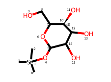 C[Si](C)(C)OC1OC(CO)[C@@H](O)C(O)C1O